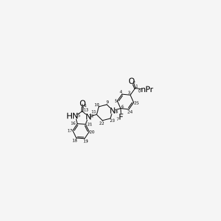 CCCC(=O)C1C=CC(F)(N2CCC(n3c(=O)[nH]c4ccccc43)CC2)C=C1